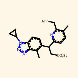 CCOC(=O)CC(c1ccc(C)c(COC(C)=O)n1)c1ccc2c(nnn2C2CC2)c1C